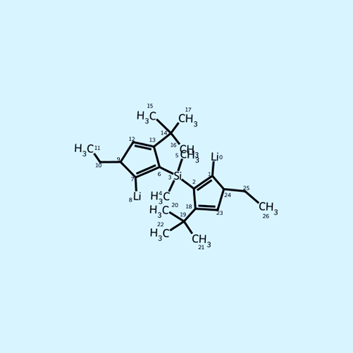 [Li][C]1=C([Si](C)(C)C2=[C]([Li])C(CC)C=C2C(C)(C)C)C(C(C)(C)C)=CC1CC